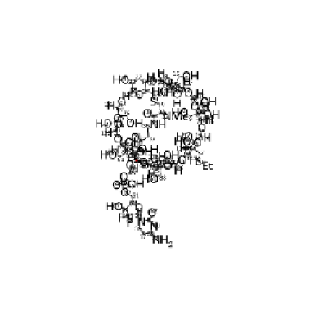 CCSCC1O[C@@H]2O[C@@H]3C(CO)O[C@@H](O[C@@H]4C(CO)O[C@@H](O[C@H]5CC(O)[C@@H](OC5CSC[C@@H](NC)C(=O)NCCC(=O)OCC(=O)OCOP(=O)(O)OC[C@H]5O[C@@H](n6ccc(N)nc6=O)C(F)(F)[C@@H]5O)O[C@H]5CC(O)[C@H](OC5CO)O[C@@H]5C(CO)O[C@H](O[C@@H]6C(CO)O[C@@H](O[C@H]1[C@H](O)C2O)C(O)[C@H]6O)C(O)[C@H]5O)C(O)[C@H]4O)C(O)[C@H]3O